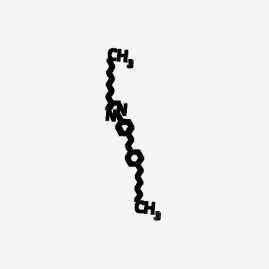 CCCCCCCCc1cnc(-c2ccc(CCC3CCC(CCCCCCC)CC3)cc2)nc1